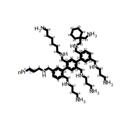 CCC/C=C/CNCc1ccc(CNCCCN)c(-c2cc(CNCCCN)c(-c3cc(CNCCCN)ccc3CNCC3(CN)CCCCC3)cc2CNCCCCCCN)c1